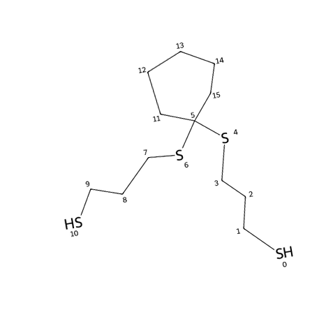 SCCCSC1(SCCCS)CCCCC1